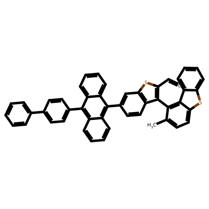 C=Cc1sc2cc(-c3c4ccccc4c(-c4ccc(-c5ccccc5)cc4)c4ccccc34)ccc2c1-c1c(C)ccc2sc3ccccc3c12